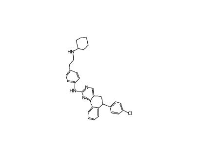 Clc1ccc(C2Cc3cnc(Nc4ccc(CCNC5CCCCC5)cc4)nc3-c3ccccc32)cc1